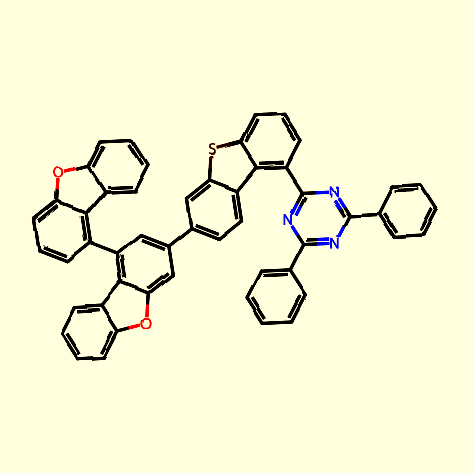 c1ccc(-c2nc(-c3ccccc3)nc(-c3cccc4sc5cc(-c6cc(-c7cccc8oc9ccccc9c78)c7c(c6)oc6ccccc67)ccc5c34)n2)cc1